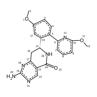 COc1ccc(-c2cccc(OC)n2)c([C@H]2Cc3nc(N)ncc3C(=O)N2)c1